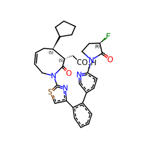 O=C(O)C[C@@H]1C(=O)N(c2nc(-c3ccccc3-c3ccc(N4CC[C@@H](F)C4=O)nc3)cs2)CC=CC[C@H]1C1CCCC1